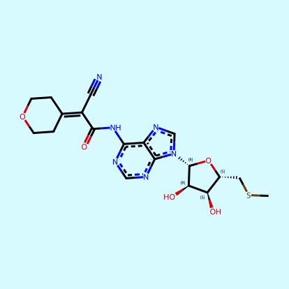 CSC[C@H]1O[C@@H](n2cnc3c(NC(=O)C(C#N)=C4CCOCC4)ncnc32)[C@H](O)[C@@H]1O